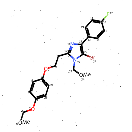 COCOc1ccc(OCCc2nc(-c3ccc(F)cc3)c(Br)n2COC)cc1